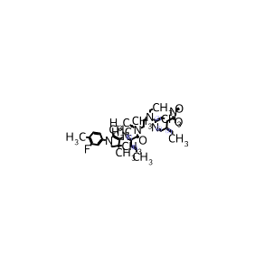 C\C=C(/C=N\C(=C/C)N(CC)CCN(C(=O)C(/C=C/C)=N/C1=C(C)N(c2ccc(C)c(F)c2)CC1(C)C)C(C)(C)C)CC(=O)N=O